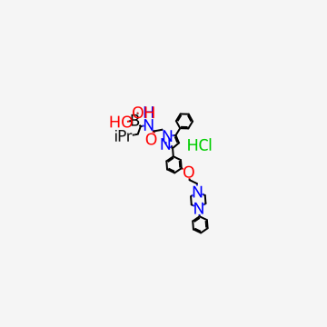 CC(C)CC(NC(=O)Cn1nc(-c2cccc(OCCN3CCN(c4ccccc4)CC3)c2)cc1-c1ccccc1)B(O)O.Cl